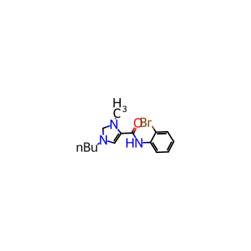 CCCCN1C=C(C(=O)Nc2ccccc2Br)N(C)C1